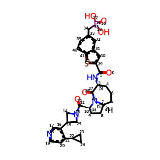 O=C(N[C@H]1CCC[C@H]2CC[C@@H](C(=O)N3CC(c4cnccc4C4CC4)C3)N2C1=O)c1cc2cc(CP(=O)(O)O)ccc2s1